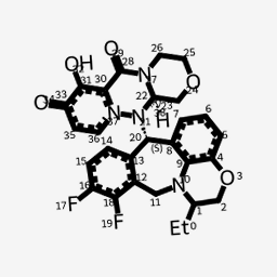 CCC1COc2cccc3c2N1Cc1c(ccc(F)c1F)[C@@H]3N1[C@@H]2COCCN2C(=O)c2c(O)c(=O)ccn21